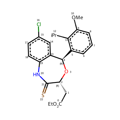 CCOC(=O)C[C@H]1O[C@H](c2cccc(OC)c2C(C)C)c2cc(Cl)ccc2NC1=S